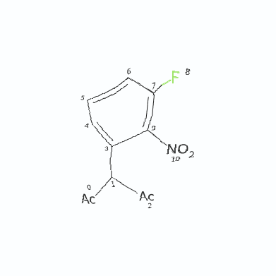 CC(=O)C(C(C)=O)c1cccc(F)c1[N+](=O)[O-]